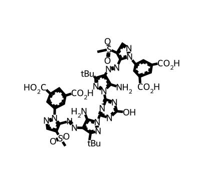 CC(C)(C)c1nn(-c2nc(O)nc(-n3nc(C(C)(C)C)c(N=Nc4c(S(C)(=O)=O)cnn4-c4cc(C(=O)O)cc(C(=O)O)c4)c3N)n2)c(N)c1N=Nc1c(S(C)(=O)=O)cnn1-c1cc(C(=O)O)cc(C(=O)O)c1